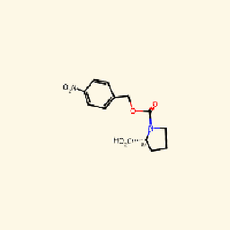 O=C(O)[C@H]1CCCN1C(=O)OCc1ccc([N+](=O)[O-])cc1